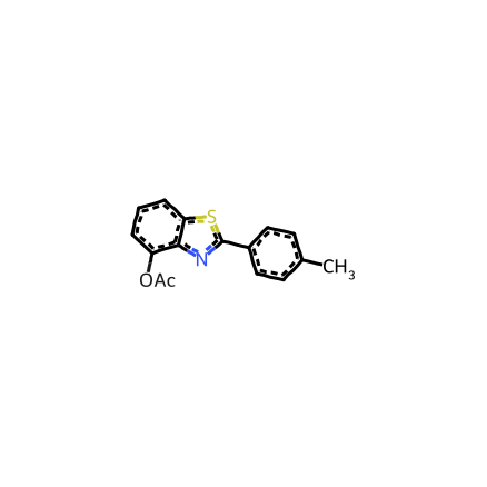 CC(=O)Oc1cccc2sc(-c3ccc(C)cc3)nc12